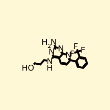 Nc1nc(NCCCO)c2ccc(-c3ccccc3C(F)(F)F)nc2n1